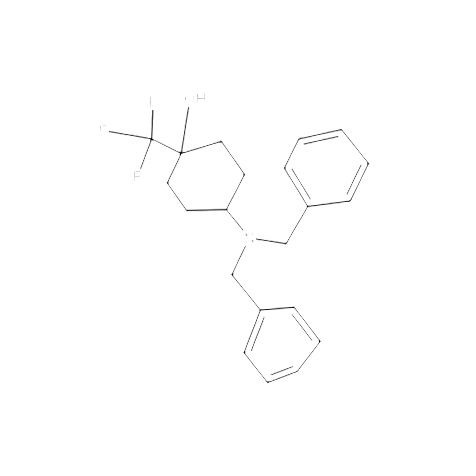 OC1(C(F)(F)F)CCC(N(Cc2ccccc2)Cc2ccccc2)CC1